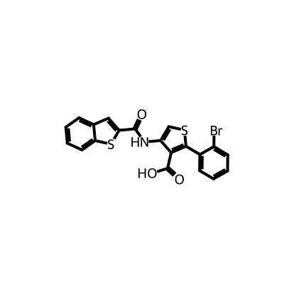 O=C(Nc1csc(-c2ccccc2Br)c1C(=O)O)c1cc2ccccc2s1